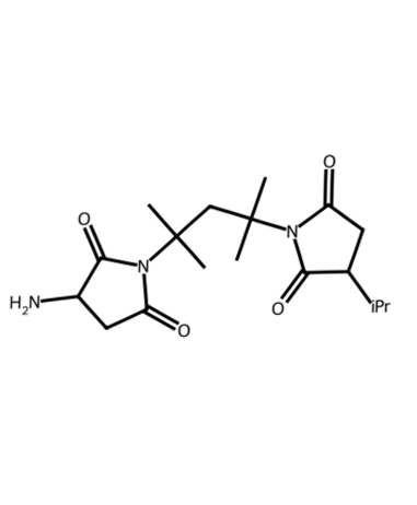 CC(C)C1CC(=O)N(C(C)(C)CC(C)(C)N2C(=O)CC(N)C2=O)C1=O